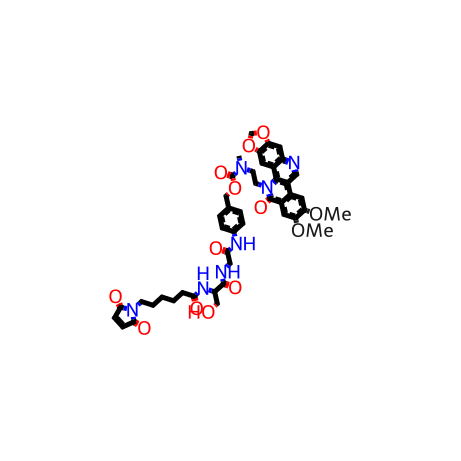 COc1cc2c(=O)n(CCN(C)C(=O)OCc3ccc(NC(=O)CNC(=O)C(CO)NC(=O)CCCCCN4C(=O)C=CC4=O)cc3)c3c4cc5c(cc4ncc3c2cc1OC)OCO5